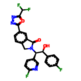 O=C1c2cc(-c3nnc(C(F)F)o3)ccc2CN1[C@H](c1ccc(F)nc1)[C@@H](O)c1ccc(F)cc1